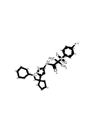 CC(C)(C(=O)Nc1cc(C2(COC3CCCCC3)CCCC2)no1)S(=O)(=O)c1ccc(F)cc1